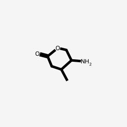 CC1CC(=O)OCC1N